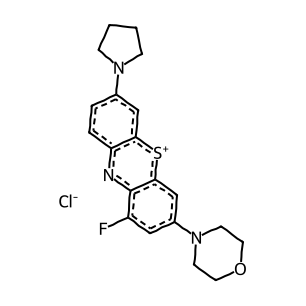 Fc1cc(N2CCOCC2)cc2[s+]c3cc(N4CCCC4)ccc3nc12.[Cl-]